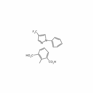 Cc1c(C(=O)O)cccc1C(=O)O.FC(F)(F)c1cnn(-c2ccccc2)c1